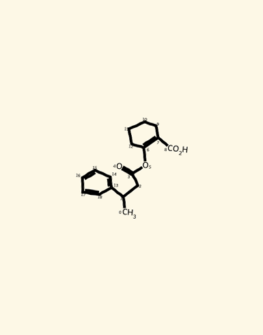 CC(CC(=O)OC1=C(C(=O)O)CCCC1)c1ccccc1